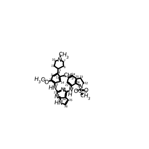 COc1cc(C2CCN(C)CC2)c(C)cc1Nc1nc(Nc2cccc3c2N(S(C)(=O)=O)CC3)c2cc[nH]c2n1